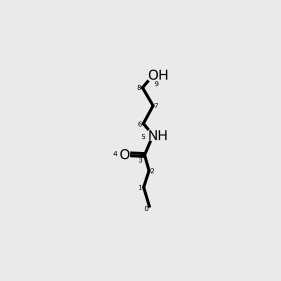 CCCC(=O)NCCCO